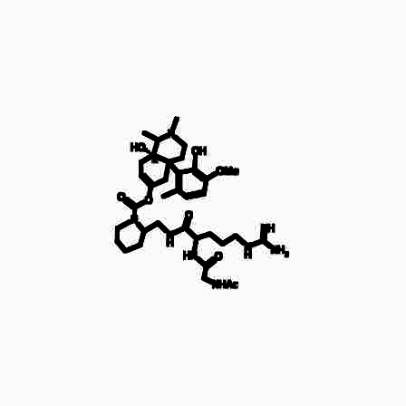 COc1ccc(C)c(C23CCN(C)C(C)[C@]2(O)CC=C(OC(=O)N2CCCCC2CNC(=O)C(CCCNC(=N)N)NC(=O)CNC(C)=O)C3)c1O